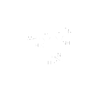 COc1ccc(-c2cc(NC3CCN(S(C)(=O)=O)CC3)c3cnccc3c2)cc1C